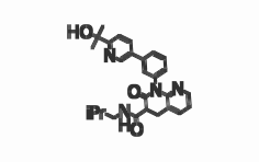 CC(C)CNC(=O)C1Cc2cccnc2N(c2cccc(-c3ccc(C(C)(C)O)nc3)c2)C1=O